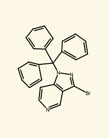 Brc1nn(C(c2ccccc2)(c2ccccc2)c2ccccc2)c2ccncc12